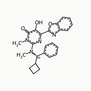 CN(c1nc(-c2nc3ccccc3o2)c(O)c(=O)n1C)[C@@H](c1ccccc1)C1CCC1